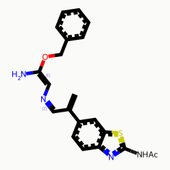 C=C(/C=N\C=C(/N)OCc1ccccc1)c1ccc2nc(NC(C)=O)sc2c1